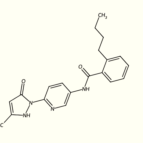 CCCCc1ccccc1C(=O)Nc1ccc(-n2[nH]c(C)cc2=O)nc1